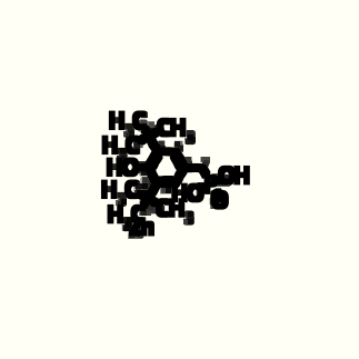 CC(C)(C)c1cc(CP(=O)(O)O)cc(C(C)(C)C)c1O.[Zn]